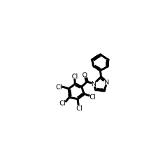 O=C(c1c(Cl)c(Cl)c(Cl)c(Cl)c1Cl)n1ccnc1-c1ccccc1